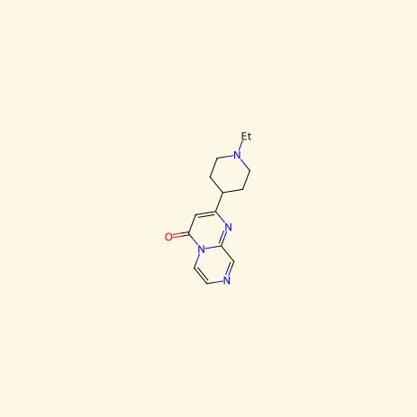 CCN1CCC(c2cc(=O)n3ccncc3n2)CC1